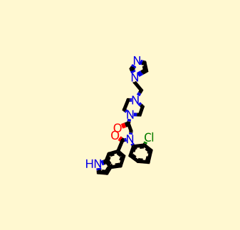 O=C(CN(C(=O)c1ccc2cc[nH]c2c1)c1ccccc1Cl)N1CCN(CCn2ccnc2)CC1